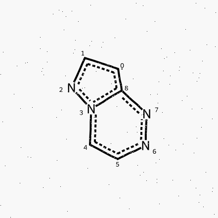 [c]1cnn2ccnnc12